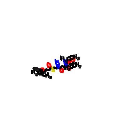 CC1(C)OCC(C)(C)[C@H](C(=O)NCCC(=O)NCCSC(=O)CCCO[Si](C)(C)C(C)(C)C)O1